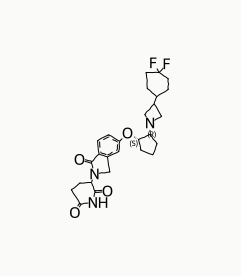 O=C1CCC(N2Cc3cc(O[C@H]4CCC[C@H]4N4CC(C5CCC(F)(F)CC5)C4)ccc3C2=O)C(=O)N1